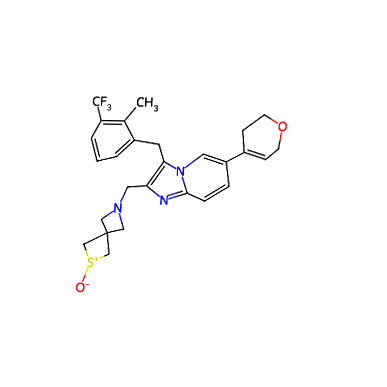 Cc1c(Cc2c(CN3CC4(C3)C[S+]([O-])C4)nc3ccc(C4=CCOCC4)cn23)cccc1C(F)(F)F